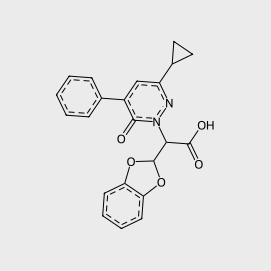 O=C(O)C(C1Oc2ccccc2O1)n1nc(C2CC2)cc(-c2ccccc2)c1=O